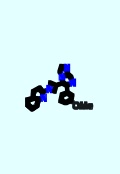 COc1cccc(-c2ncc3nccn3c2C2CN(c3ccc4ccccc4n3)C2)c1